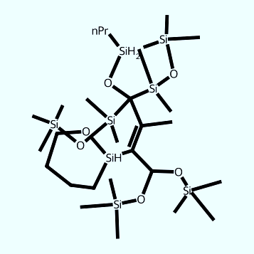 CCC[SiH2]OC(/C(C)=C(/C(O[Si](C)(C)C)O[Si](C)(C)C)[SiH]1CCCCO1)([Si](C)(C)O[Si](C)(C)C)[Si](C)(C)O[Si](C)(C)C